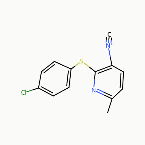 [C-]#[N+]c1ccc(C)nc1Sc1ccc(Cl)cc1